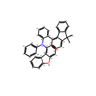 CC1(C)c2ccccc2-c2c(-c3ccccc3N(c3ccccc3)c3cccc4oc5ccccc5c34)cccc21